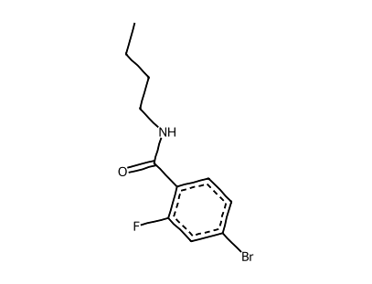 CCCCNC(=O)c1ccc(Br)cc1F